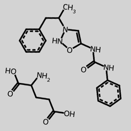 CC(Cc1ccccc1)N1C=C(NC(=O)Nc2ccccc2)ON1.NC(CCC(=O)O)C(=O)O